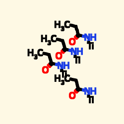 CCC(=O)[NH][Ti].CCC(=O)[NH][Ti].CCC(=O)[NH][Ti].CCC(=O)[NH][Ti]